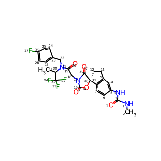 CNC(=O)Nc1ccc2c(c1)CC[C@@]21OC(=O)N(CC(=O)N(Cc2ccc(F)cc2)C(C)C(F)(F)F)C1=O